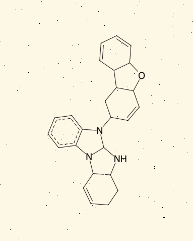 C1=CC2OC3C=CC(N4c5ccccc5N5C6C=CCCC6NC45)CC3C2C=C1